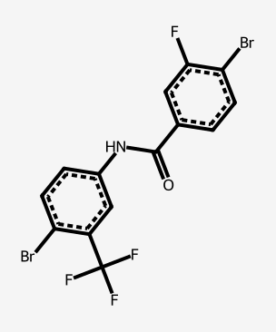 O=C(Nc1ccc(Br)c(C(F)(F)F)c1)c1ccc(Br)c(F)c1